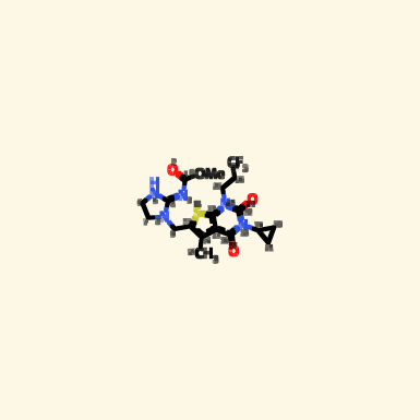 COC(=O)N=C1NCCN1Cc1sc2c(c1C)c(=O)n(C1CC1)c(=O)n2CCC(F)(F)F